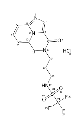 Cl.O=C1c2cnc3cccc(n23)CN1CCCNS(=O)(=O)C(F)(F)F